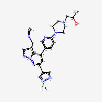 C=NCc1cnn2cc(-c3cnn(C)c3)cc(-c3ccc(N4CCN(CC(O)C(C)C)CC4)nc3)c12